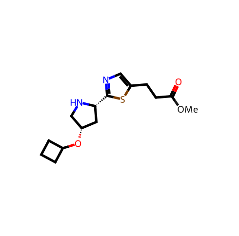 COC(=O)CCc1cnc([C@@H]2C[C@H](OC3CCC3)CN2)s1